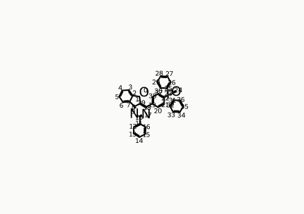 O=C1c2ccccc2-c2nc(-c3ccccc3)nc(-c3ccc(P(=O)(c4ccccc4)c4ccccc4)cc3)c21